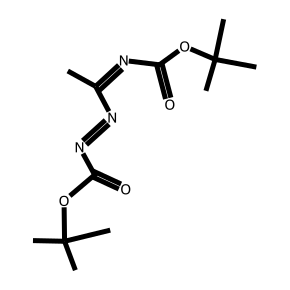 C/C(N=NC(=O)OC(C)(C)C)=N/C(=O)OC(C)(C)C